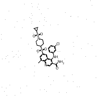 Cc1cc(S(=O)(=O)C2CCN(S(=O)(=O)C3CC3)CC2)cc2c(Nc3cccc(Cl)c3)c(C(N)=O)cnc12